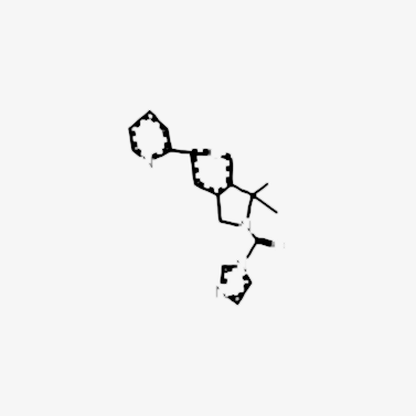 CC1(C)c2ccc(-c3ccccn3)cc2CN1C(=O)n1ccnc1